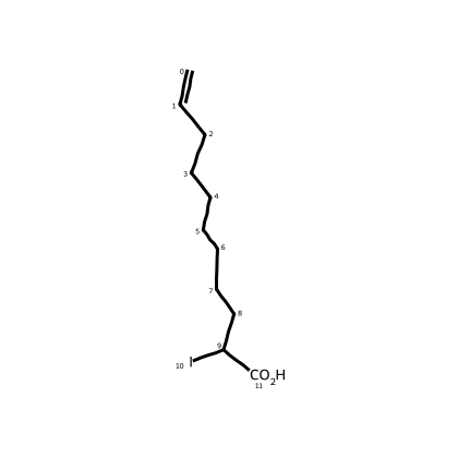 C=CCCCCCCCC(I)C(=O)O